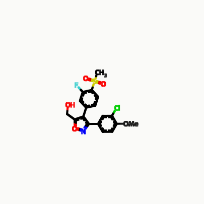 COc1ccc(-c2noc(CO)c2-c2ccc(S(C)(=O)=O)c(F)c2)cc1Cl